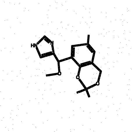 COC(c1c[nH]cn1)c1cc(C)cc2c1OC(C)(C)OC2